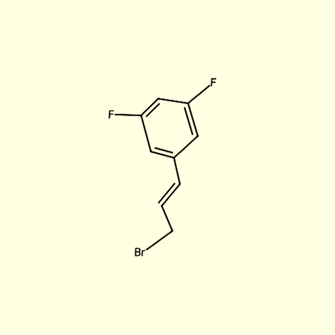 Fc1cc(F)cc(C=CCBr)c1